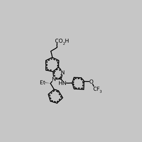 CC[C@@H](c1ccccc1)n1c(Nc2ccc(OC(F)(F)F)cc2)nc2cc(CCC(=O)O)ccc21